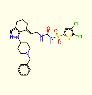 O=C(NCC=C1CCCc2cnn(C3CCN(Cc4ccccc4)CC3)c21)NS(=O)(=O)c1cc(Cl)c(Cl)s1